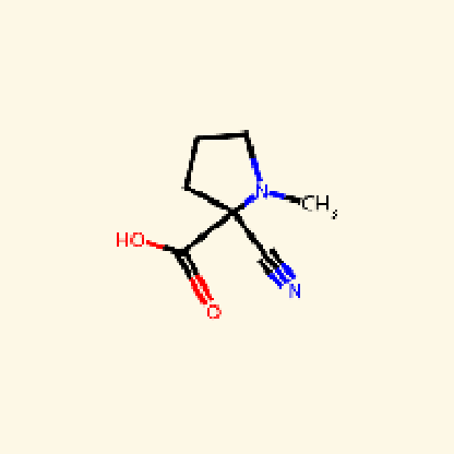 CN1CCCC1(C#N)C(=O)O